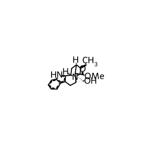 C/C=C1/CN2C3Cc4c([nH]c5ccccc45)[C@@H]2C[C@@H]1[C@@]3(CO)C(=O)OC